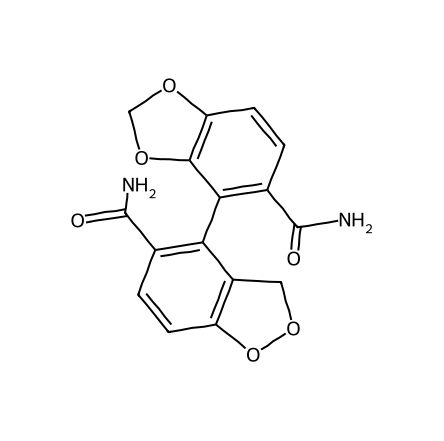 NC(=O)c1ccc2c(c1-c1c(C(N)=O)ccc3c1OCO3)COO2